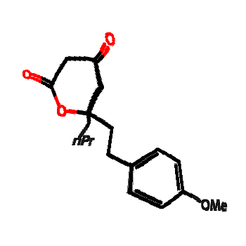 CCCC1(CCc2ccc(OC)cc2)CC(=O)CC(=O)O1